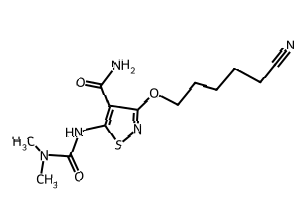 CN(C)C(=O)Nc1snc(OCCCCCC#N)c1C(N)=O